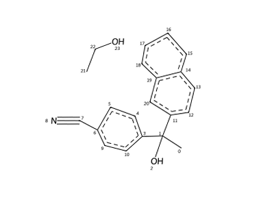 CC(O)(c1ccc(C#N)cc1)c1ccc2ccccc2c1.CCO